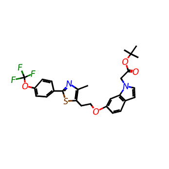 Cc1nc(-c2ccc(OC(F)(F)F)cc2)sc1CCOc1ccc2ccn(CC(=O)OC(C)(C)C)c2c1